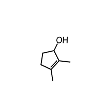 CC1=C(C)C(O)CC1